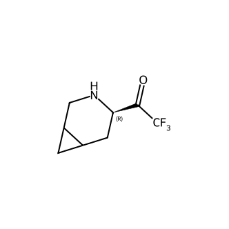 O=C([C@H]1CC2CC2CN1)C(F)(F)F